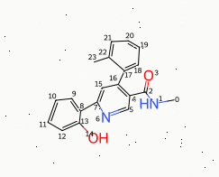 CNC(=O)c1cnc(-c2ccccc2O)cc1-c1ccccc1C